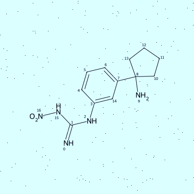 N=C(Nc1cccc(C2(N)CCCC2)c1)N[N+](=O)[O-]